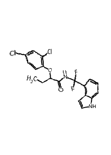 CCC(Oc1ccc(Cl)cc1Cl)C(=O)NC(F)(F)c1cccc2[nH]ccc12